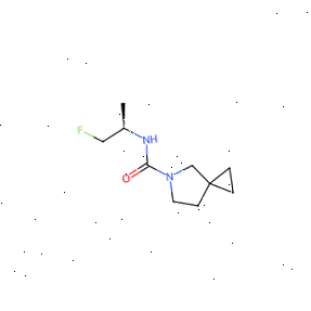 C[C@H](CF)NC(=O)N1CCC2(CC2)C1